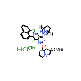 COC1CN2CCCC2(COc2nc(N3C[C@H]4CC[C@@H](C3)N4)c3cnc(-c4cccc5cccc(Cl)c45)c(F)c3n2)C1.Cl.Cl